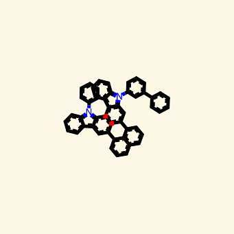 c1ccc(-c2cccc(-n3c4ccccc4c4ccc(-c5cccc6cccc(-c7ccc8c(c7)c7ccccc7n8-c7ccccc7)c56)cc43)c2)cc1